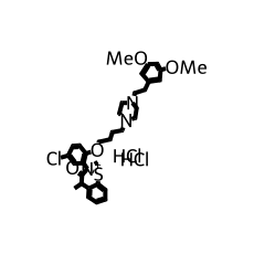 COc1cc(CCN2CCN(CCCCOc3ccc(Cl)cc3[N+]3(C)Sc4ccccc4C(C)C3=O)CC2)cc(OC)c1.Cl.Cl